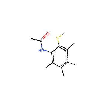 CSc1c(C)c(C)c(C)c(C)c1NC(C)=O